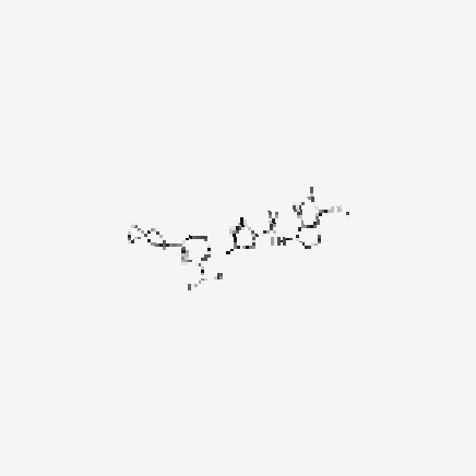 Cc1[nH]nc2c1CC[C@H]2NC(=O)c1cn(Cc2ccc(N3CC4(CC4)C3)nc2C(F)F)nn1